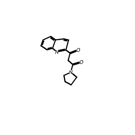 O=C(CC(=O)N1CCCC1)c1ccc2ccccc2n1